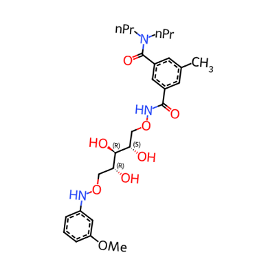 CCCN(CCC)C(=O)c1cc(C)cc(C(=O)NOC[C@H](O)[C@H](O)[C@H](O)CONc2cccc(OC)c2)c1